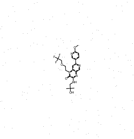 COc1ccc(-c2cc3c(cn2)nc(NCC(C)(C)O)c(=O)n3CCOCC(F)(F)F)cn1